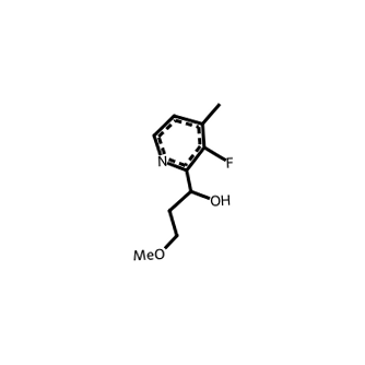 COCCC(O)c1nccc(C)c1F